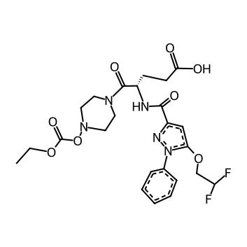 CCOC(=O)ON1CCN(C(=O)[C@H](CCC(=O)O)NC(=O)c2cc(OCC(F)F)n(-c3ccccc3)n2)CC1